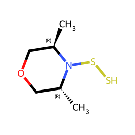 C[C@@H]1COC[C@@H](C)N1SS